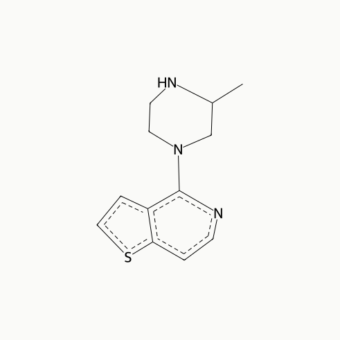 CC1CN(c2nccc3sccc23)CCN1